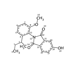 CCC(C)c1cccc(OC)c1N1C(=O)c2ccc(O)cc2C1=O